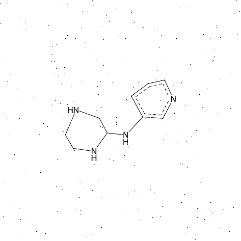 c1cncc(NC2CNCCN2)c1